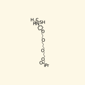 CC(S)Nc1ccc(OCCCOCCCCOCCCOCC(=O)C(C)C)cc1